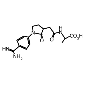 CC(NC(=O)CC1CCN(c2ccc(C(=N)N)cc2)C1=O)C(=O)O